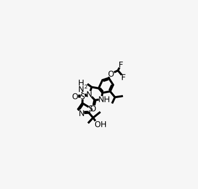 CC(C)c1cc(OC(F)F)cc(C(C)C)c1NC(=O)N=[S@](N)(=O)c1cnc(C(C)(C)O)s1